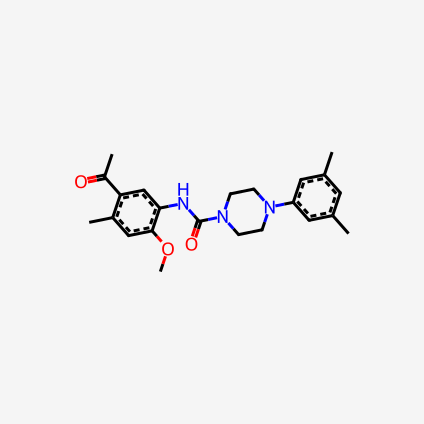 COc1cc(C)c(C(C)=O)cc1NC(=O)N1CCN(c2cc(C)cc(C)c2)CC1